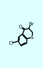 O=C1c2cc(Cl)ccc2SCC1Br